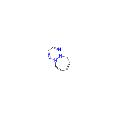 C1=CCN2N=CC=NN2C=C1